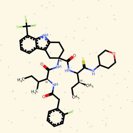 CCC(C)[C@H](NC(=O)Cc1ccccc1F)C(=O)N[C@]1(C(=O)NC(C(=S)NC2CCOCC2)[C@@H](C)CC)CCc2[nH]c3c(C(F)(F)F)cccc3c2C1